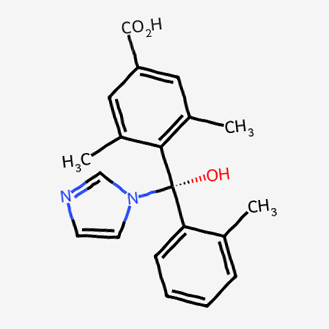 Cc1ccccc1[C@](O)(c1c(C)cc(C(=O)O)cc1C)n1ccnc1